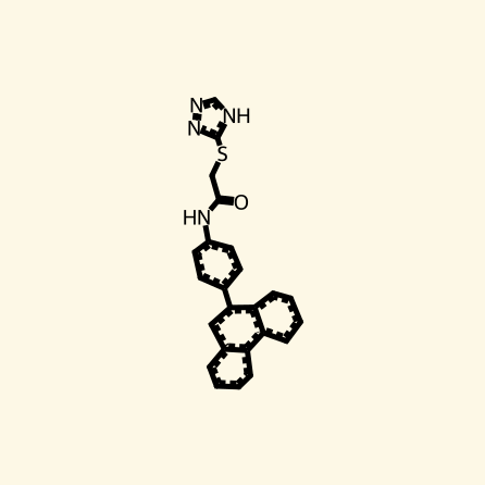 O=C(CSc1nnc[nH]1)Nc1ccc(-c2cc3ccccc3c3ccccc23)cc1